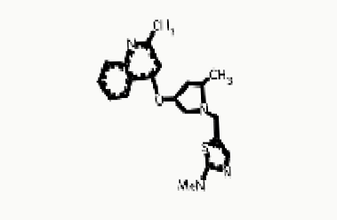 CNc1ncc(CN2CC(Oc3cc(C)nc4ccccc34)CC2C)s1